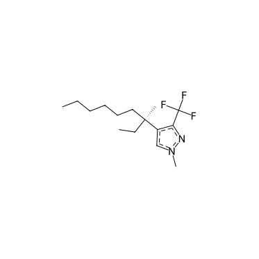 CCCCCC[C@](C)(CC)c1cn(C)nc1C(F)(F)F